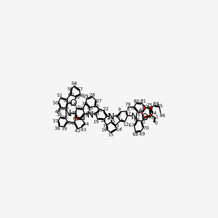 C=Cc1oc2c(N(c3ccc4c(c3)c3cccc5c6cc7c(cc6n4c35)c3cccc4c5cc(N(c6ccccc6-c6ccccc6)c6c(C)ccc8c6oc6ccccc68)ccc5n7c43)c3ccccc3-c3ccccc3)c(C)ccc2c1/C=C\C